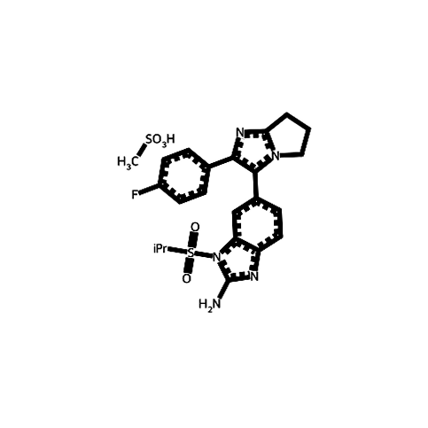 CC(C)S(=O)(=O)n1c(N)nc2ccc(-c3c(-c4ccc(F)cc4)nc4n3CCC4)cc21.CS(=O)(=O)O